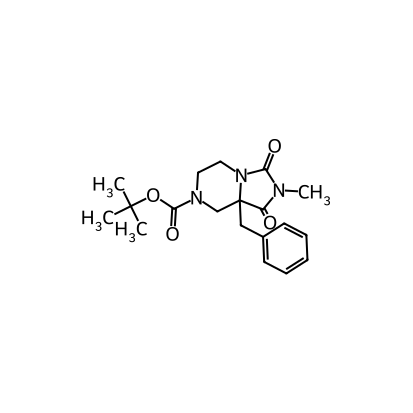 CN1C(=O)N2CCN(C(=O)OC(C)(C)C)CC2(Cc2ccccc2)C1=O